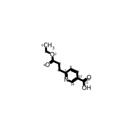 CCOC(=O)CCc1ccc(C(=O)O)cn1